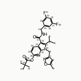 Cc1cc(Cn2c(C(C)C)c(C(=O)NCc3cc(F)cc(F)c3)c3ccc(OC(=O)C(C)(C)C)nc32)no1